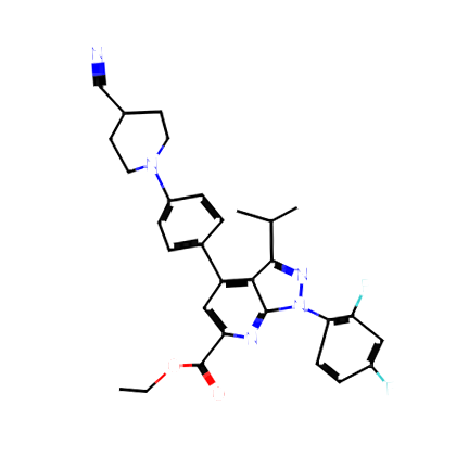 CCOC(=O)c1cc(-c2ccc(N3CCC(C#N)CC3)cc2)c2c(C(C)C)nn(-c3ccc(F)cc3F)c2n1